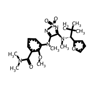 COc1c(C(=O)N(C)C)cccc1N(C)C1=NS(=O)(=O)N=C1N(C)[C@@H](c1ccco1)C(C)(C)C